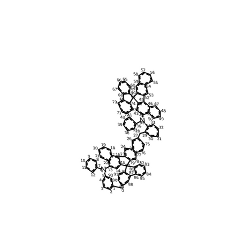 Cc1cccc(N(c2ccccc2)c2cc3c(c4ccccc24)-c2cc4cc(Cc5ccccc5N(c5ccccc5)c5cc6c(c7ccccc57)-c5cc7ccccc7cc5C65c6ccccc6-c6ccccc65)ccc4cc2C32c3ccccc3-c3ccccc32)c1